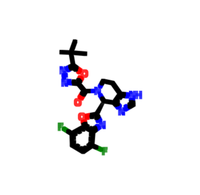 CC(C)(C)c1nnc(C(=O)N2CCc3[nH]cnc3[C@H]2c2nc3c(F)ccc(F)c3o2)o1